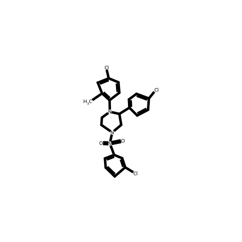 Cc1cc(Cl)ccc1N1CCN(S(=O)(=O)c2cccc(Cl)c2)CC1c1ccc(Cl)cc1